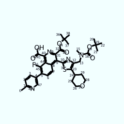 Cc1ccc(-c2ccc3c(-c4nc(CN(C)C(=O)OC(C)(C)C)c(C5CCOCC5)s4)c(C(=O)OC(C)(C)C)nc(C(=O)O)c3c2F)cn1